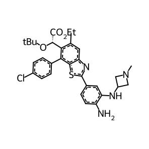 CCOC(=O)[C@@H](OC(C)(C)C)c1c(C)cc2nc(-c3ccc(N)c(NC4CN(C)C4)c3)sc2c1-c1ccc(Cl)cc1